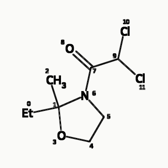 CCC1(C)OCCN1C(=O)C(Cl)Cl